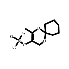 CC[Si](CC)(CC)OC1=C(C)OC2(CCCCC2)OC1